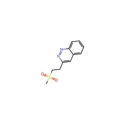 [CH2]S(=O)(=O)CCc1cc2ccccc2nn1